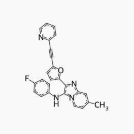 Cc1ccn2c(Nc3ccc(F)cc3)c(-c3ccc(C#Cc4ccccn4)o3)nc2c1